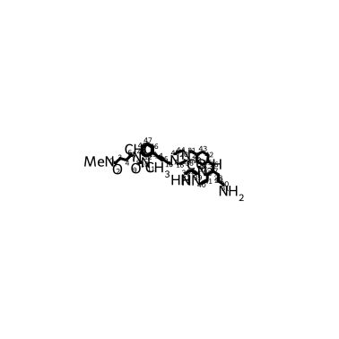 CNC(=O)CCC(C=O)n1c(=O)n(C)c2c(C#CCN3CCN(CC4CCC(CC(CCCN)C5=N/C(=C(/C=N)C(=O)O)NC=C5)CC4)CC3)cccc21